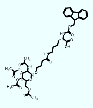 CC(=O)NC1[C@H](OCCCC(=O)NCCCC[C@H](NC(=O)OCC2c3ccccc3-c3ccccc32)C(=O)O)OC(COC(C)=O)[C@@H](OC(C)=O)[C@@H]1OC(C)=O